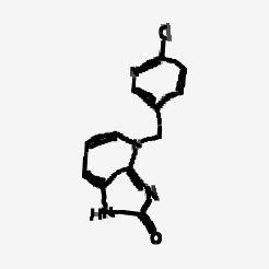 O=c1nc2n(Cc3ccc(Cl)nc3)cccc-2[nH]1